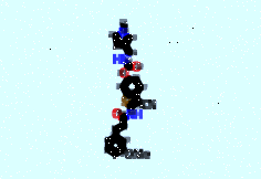 COc1cccc(CCC(=O)Nc2sc3c(c2C#N)CCC(OC(=O)NCc2ccn(C)c2)C3)c1